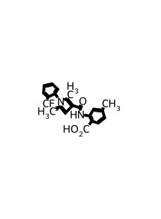 Cc1ccc(C(=O)O)c(NC(=O)c2cc(C)n(-c3ccccc3C(F)(F)F)c2C)c1